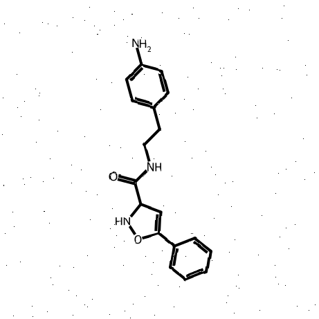 Nc1ccc(CCNC(=O)C2C=C(c3ccccc3)ON2)cc1